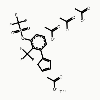 CC(=O)[O-].CC(=O)[O-].CC(=O)[O-].CC(=O)[O-].O=S(=O)(Oc1cccc(C2=CC=CC2)c1C(F)(F)F)C(F)(F)F.[Ti+4]